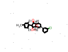 CCc1cc(C)cc(CC)c1C1=C(O)[C@@H]2[C@@H]3O[C@@H](C[C@H]3c3cccc(Cl)c3)[C@@H]2C1=O